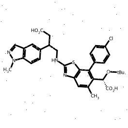 Cc1cc2nc(NCC(CC(=O)O)c3ccc4c(cnn4C)c3)sc2c(-c2ccc(Cl)cc2)c1[C@H](OC(C)(C)C)C(=O)O